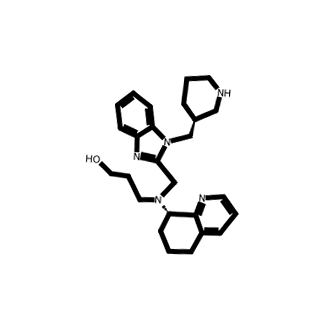 OCCCN(Cc1nc2ccccc2n1C[C@H]1CCCNC1)[C@H]1CCCc2cccnc21